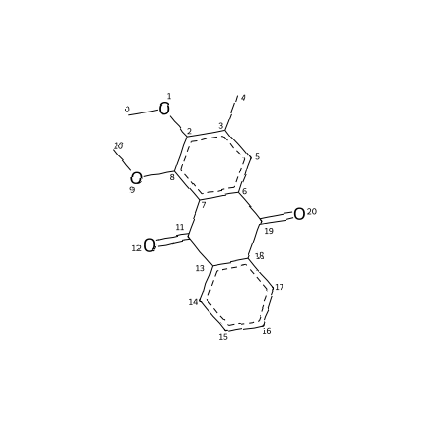 COc1c(C)cc2c(c1OC)C(=O)c1ccccc1C2=O